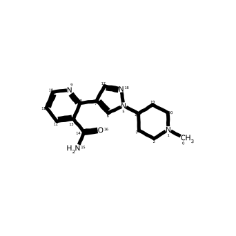 CN1CCC(n2cc(-c3ncccc3C(N)=O)cn2)CC1